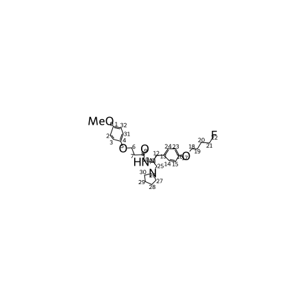 COc1ccc(OCCC(=O)N[C@@H](Cc2ccc(OCCCCF)cc2)CN2CCCC2)cc1